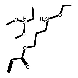 C=CC(=O)OCCC[SiH2]OCC.CC[SiH](OC)OC